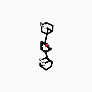 c1c2c(C3CN4CCC3CC4)cc(c1C1CC3CCC1CS3)CO2